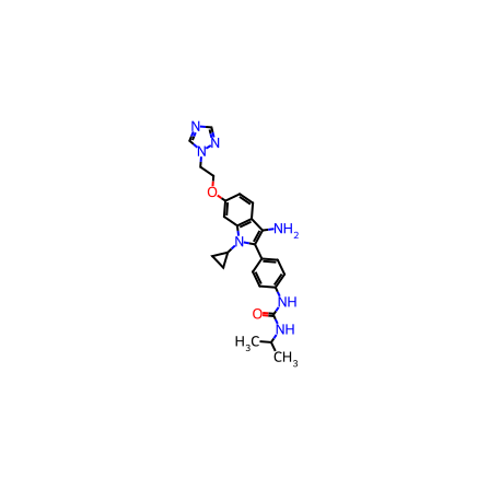 CC(C)NC(=O)Nc1ccc(-c2c(N)c3ccc(OCCn4cncn4)cc3n2C2CC2)cc1